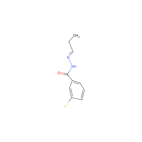 CC/C=N/NC(=O)c1cccc(F)c1